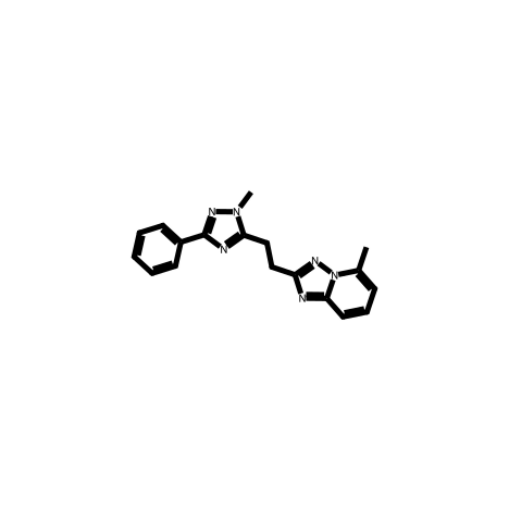 Cc1cccc2nc(CCc3nc(-c4ccccc4)nn3C)nn12